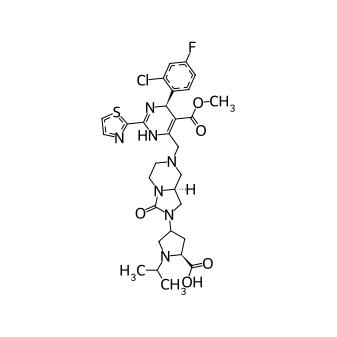 COC(=O)C1=C(CN2CCN3C(=O)N(C4C[C@@H](C(=O)O)N(C(C)C)C4)C[C@@H]3C2)NC(c2nccs2)=N[C@H]1c1ccc(F)cc1Cl